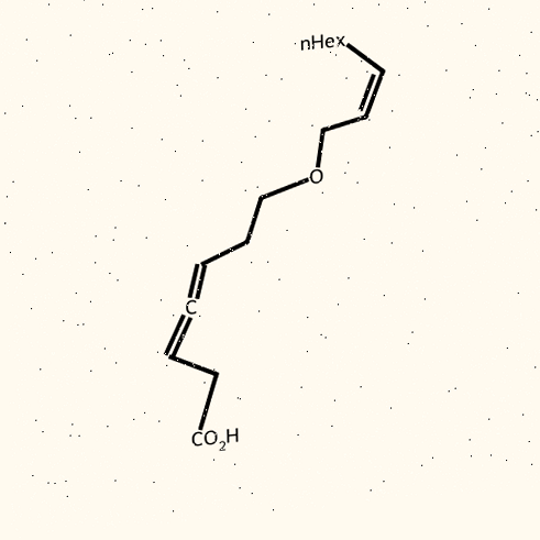 CCCCCC/C=C\COCCC=C=CCC(=O)O